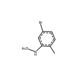 CC(=O)ONc1cc(Br)ccc1C